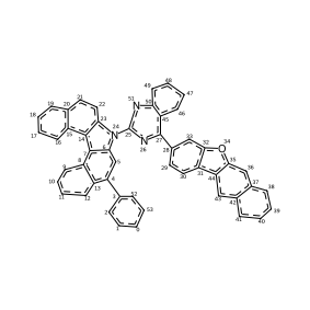 c1ccc(-c2cc3c(c4ccccc24)c2c4ccccc4ccc2n3-c2nc(-c3ccc4c(c3)oc3cc5ccccc5cc34)c3ccccc3n2)cc1